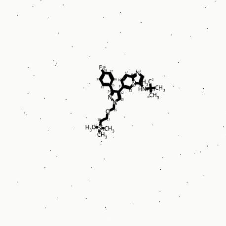 CC(C)(C)Nc1cnc2ccc(-c3cn(COCC[Si](C)(C)C)nc3-c3ccc(F)cc3)cn12